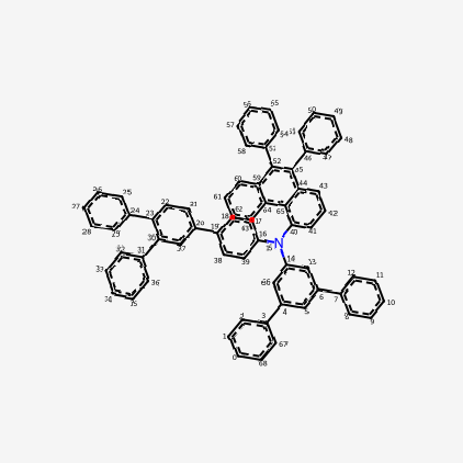 c1ccc(-c2cc(-c3ccccc3)cc(N(c3ccc(-c4ccc(-c5ccccc5)c(-c5ccccc5)c4)cc3)c3cccc4c(-c5ccccc5)c(-c5ccccc5)c5ccccc5c34)c2)cc1